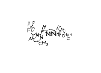 Cc1cc2nc(COC(F)(F)F)cn2c(Nc2cc([C@@H]3OC[C@H](OC(=O)NC45CC(C4)C5)[C@@H]3F)[nH]n2)n1